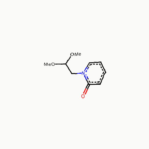 COC(Cn1ccccc1=O)OC